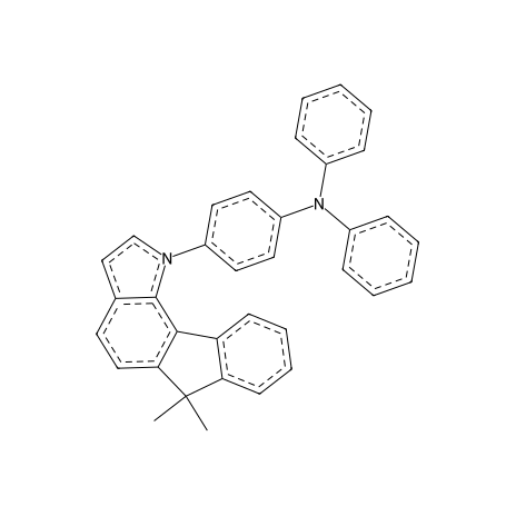 CC1(C)c2ccccc2-c2c1ccc1ccn(-c3ccc(N(c4ccccc4)c4ccccc4)cc3)c21